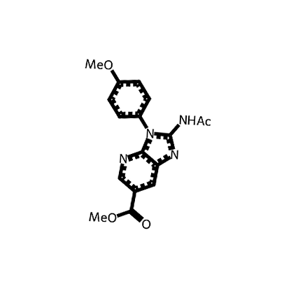 COC(=O)c1cnc2c(c1)nc(NC(C)=O)n2-c1ccc(OC)cc1